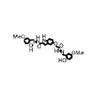 COc1ccc(O)c(/C=N/NC(=O)COc2ccc3[nH]c(C(=O)N/N=C/c4cc(OC)ccc4O)cc3c2)c1